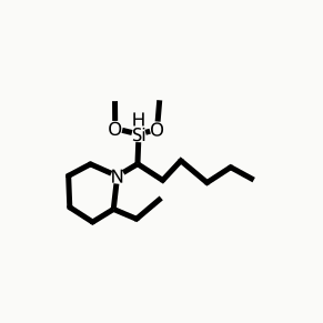 CCCCCC(N1CCCCC1CC)[SiH](OC)OC